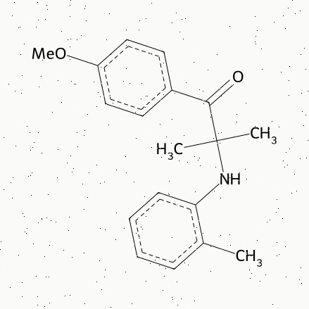 COc1ccc(C(=O)C(C)(C)Nc2ccccc2C)cc1